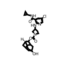 O=C(NC1CC1)c1cc(Cl)cnc1NC1CCN(C(=O)OC2C3CC4C[C@@H]2CC(O)(C4)C3)C1